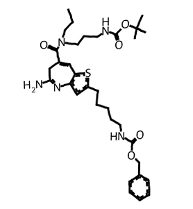 CCCN(CCCNC(=O)OC(C)(C)C)C(=O)C1=Cc2sc(CCCCCNC(=O)OCc3ccccc3)cc2N=C(N)C1